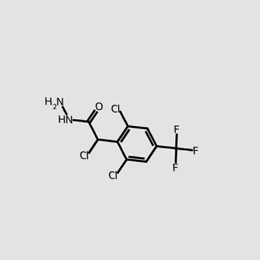 NNC(=O)C(Cl)c1c(Cl)cc(C(F)(F)F)cc1Cl